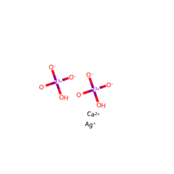 [Ag+].[Ca+2].[O-][I+3]([O-])([O-])O.[O-][I+3]([O-])([O-])O